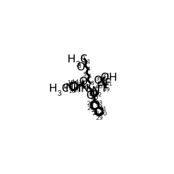 CCC(=O)CCCCC[C@H](NC(=O)C1CCN(C)CC1)c1ncc(-c2ccc3ccccc3c2)o1.O=C(O)C(F)(F)F